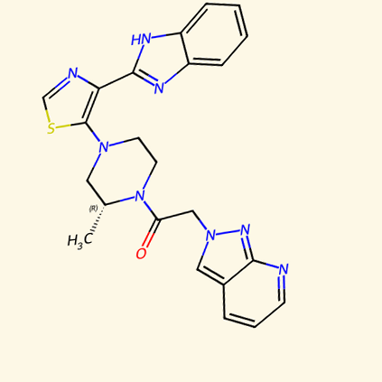 C[C@@H]1CN(c2scnc2-c2nc3ccccc3[nH]2)CCN1C(=O)Cn1cc2cccnc2n1